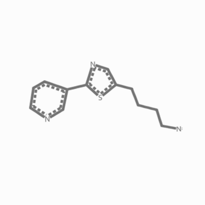 [N]CCCCc1cnc(-c2cccnc2)s1